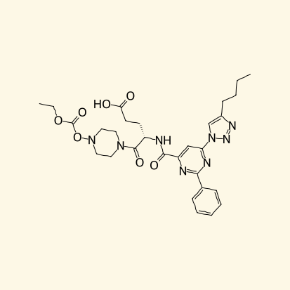 CCCCc1cn(-c2cc(C(=O)N[C@@H](CCC(=O)O)C(=O)N3CCN(OC(=O)OCC)CC3)nc(-c3ccccc3)n2)nn1